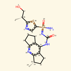 C[C@H](CO)c1ncc(S(N)(=O)=NC(=O)Nc2c3c(nc4c2CC[C@@H]4C)CCC3)s1